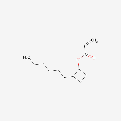 C=CC(=O)OC1CCC1CCCCCC